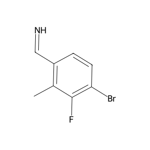 Cc1c(C=N)ccc(Br)c1F